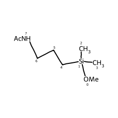 CO[Si](C)(C)CCCNC(C)=O